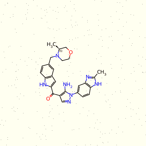 Cc1nc2cc(-n3ncc(C(=O)c4cc5cc(CN6CCOC[C@@H]6C)ccc5[nH]4)c3N)ccc2[nH]1